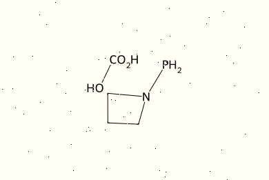 O=C(O)O.PN1CCC1